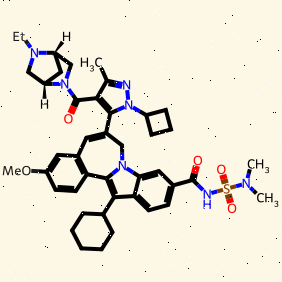 CCN1C[C@@H]2C[C@H]1CN2C(=O)c1c(C)nn(C2CCC2)c1C1=Cc2cc(OC)ccc2-c2c(C3CCCCC3)c3ccc(C(=O)NS(=O)(=O)N(C)C)cc3n2C1